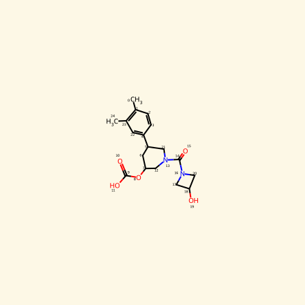 Cc1ccc(C2CC(OC(=O)O)CN(C(=O)N3CC(O)C3)C2)cc1C